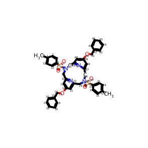 Cc1ccc(S(=O)(=O)N2Cc3cc(OCc4ccccc4)cc(n3)CN(S(=O)(=O)c3ccc(C)cc3)Cc3cc(OCc4ccccc4)cc(n3)C2)cc1